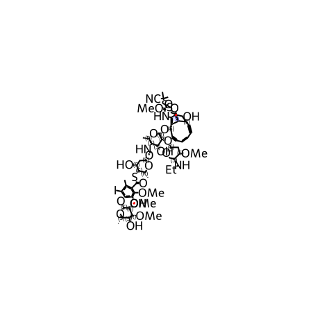 CCN[C@H]1CO[C@@H](O[C@H]2[C@H](O[C@H]3C#CC=CC#C[C@]4(O)CC(=O)C(NC(=O)OC)=C3/C4=C\CSSC(C)(C)C#N)O[C@H](C)[C@@H](NO[C@H]3C[C@H](O)[C@H](SC(=O)c4c(C)c(I)c(O[C@@H]5O[C@@H](C)[C@H](O)[C@@H](OC)[C@H]5O)c(OC)c4OC)[C@@H](C)O3)[C@@H]2O)C[C@@H]1OC